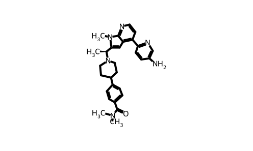 C[C@@H](c1cc2c(-c3ccc(N)cn3)ccnc2n1C)N1CCC(c2ccc(C(=O)N(C)C)cc2)CC1